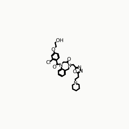 O=C1CN(C(=O)c2ccc(OCCO)cc2Cl)c2ccccc2CN1Cc1nnc(CCN2CCCCC2)o1